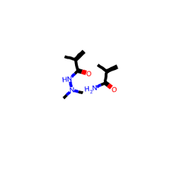 C=C(C)C(=O)NN(C)C.C=C(C)C(N)=O